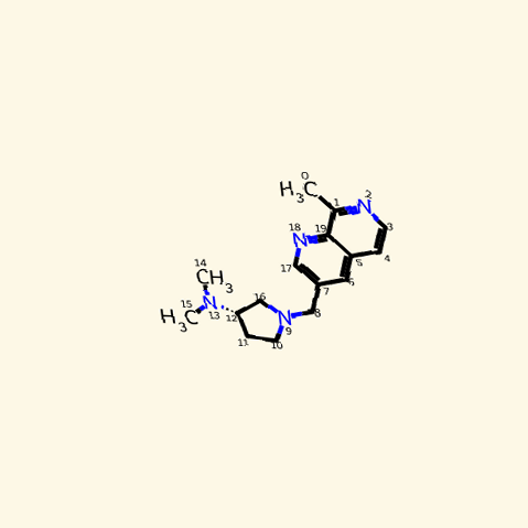 Cc1nccc2cc(CN3CC[C@H](N(C)C)C3)cnc12